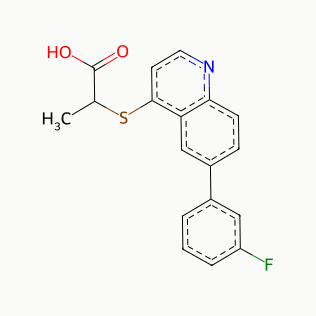 CC(Sc1ccnc2ccc(-c3cccc(F)c3)cc12)C(=O)O